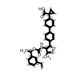 Cc1noc(-c2ccc(-c3ccc(C4(C(=O)O)CC4)cc3)cc2)c1NC(=O)OC(C)c1cccc(CF)c1